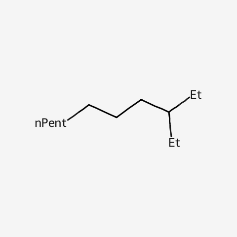 [CH2]CCCCCCCC(CC)CC